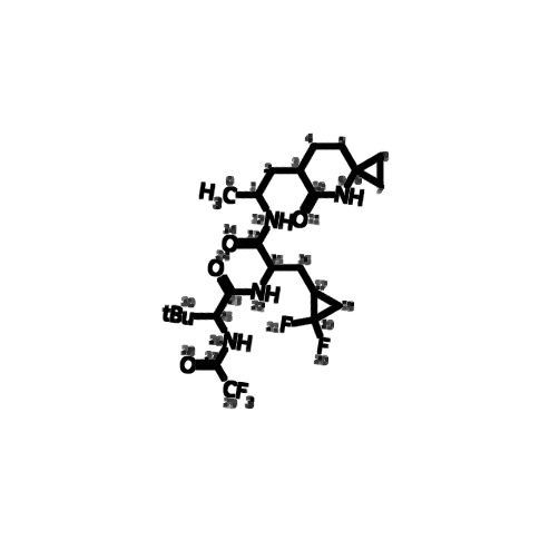 CC(CC1CCC2(CC2)NC1=O)NC(=O)C(CC1CC1(F)F)NC(=O)C(NC(=O)C(F)(F)F)C(C)(C)C